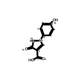 O=C(O)c1cn(-c2ccc(O)cc2)[nH]c1=O